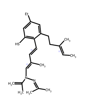 C=C(C)N(/C=C(C)/C=C/c1c(S)cc(CC)cc1CC/C(C)=C/C)N=C(C)C